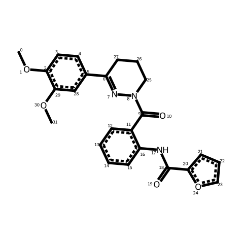 COc1ccc(C2=NN(C(=O)c3ccccc3NC(=O)c3ccco3)CCC2)cc1OC